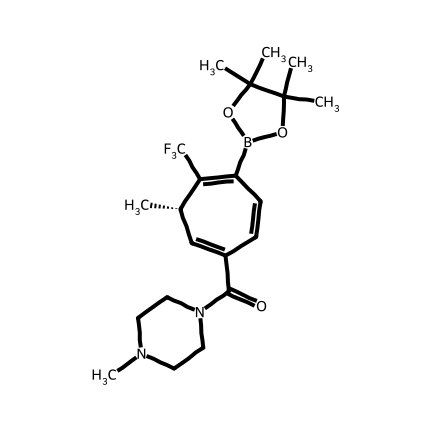 C[C@H]1C=C(C(=O)N2CCN(C)CC2)C=CC(B2OC(C)(C)C(C)(C)O2)=C1C(F)(F)F